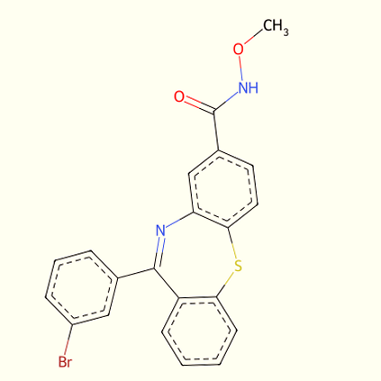 CONC(=O)c1ccc2c(c1)N=C(c1cccc(Br)c1)c1ccccc1S2